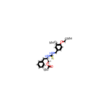 COCOc1ccc(CNC(=S)N[C@@H](COC(=O)C(C)(C)C)Cc2ccccc2)cc1OC